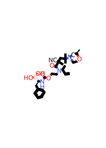 C=CC(C)N(CCOC(=O)N[C@@H](Cc1ccccc1)B(O)O)C(=O)C(C)(C#N)CC(C)(C)N1CCO[C@H](C)C1